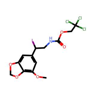 COc1cc(C(I)CNC(=O)OCC(Cl)(Cl)Cl)cc2c1OCO2